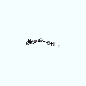 CCOC(C)c1ncc(COc2ccc(C(C)(C)c3ccc(OCCCCCCCCOCCCCN)cc3)cc2)cn1